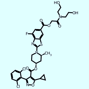 C[C@H]1C[C@@H](OC(=O)c2c(-c3c(Cl)cccc3Cl)noc2C2CC2)CCN1c1nc2c(F)cc(C(=O)OCC(=O)N(CCO)CCO)cc2s1